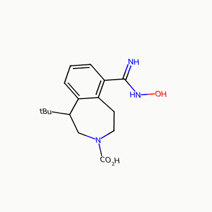 CC(C)(C)C1CN(C(=O)O)CCc2c(C(=N)NO)cccc21